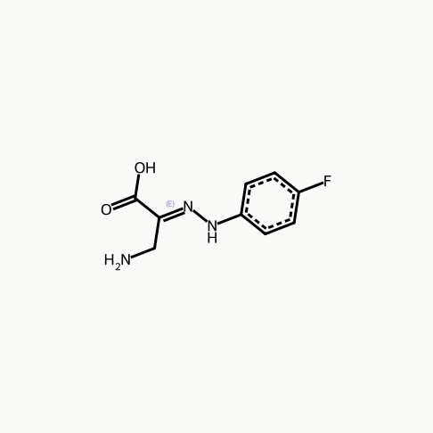 NC/C(=N\Nc1ccc(F)cc1)C(=O)O